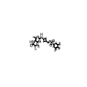 Cc1nc(NC2CC(/C=N/S(=O)(=O)c3cc(F)c(F)c(F)c3)C2)nc2c1NC(=O)[C@H](C)N2C